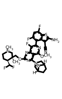 COc1nc(-c2c(F)cc(F)c3sc(N)c(C#N)c23)c(F)c2nc(OC[C@]3(C)CN(C)CC[C@@H]3C(F)F)nc(N3C[C@H]4CC[C@@H](C3)N4)c12